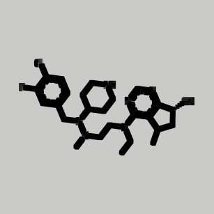 CCN(CCN(C)N(Cc1ccc(Cl)c(F)c1)C1CCNCC1)c1ncnc2c1C(C)C[C@H]2O